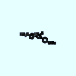 COc1ccc(-n2cc(-c3ccc(C(=O)O)o3)[nH]c2=S)cc1